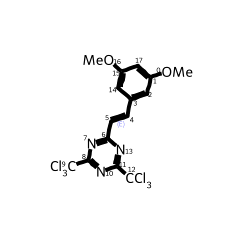 COc1cc(/C=C/c2nc(C(Cl)(Cl)Cl)nc(C(Cl)(Cl)Cl)n2)cc(OC)c1